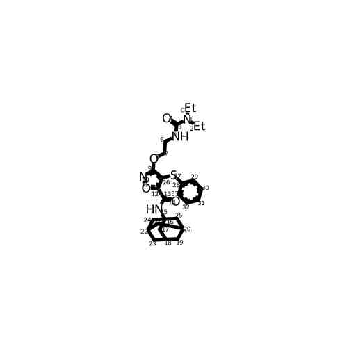 CCN(CC)C(=O)NCCOc1noc(C(=O)NC23CC4CC(CC(C4)C2)C3)c1Sc1ccccc1